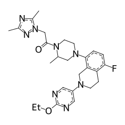 CCOc1ncc(N2CCc3c(F)ccc(N4CCN(C(=O)Cn5nc(C)nc5C)C(C)C4)c3C2)cn1